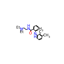 CCN(CC)CCNC(=O)c1ccccc1Nc1cccc(C)c1C